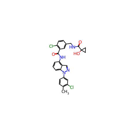 Cc1ccc(-n2ncc3c(NC(=O)c4cc(CNC(=O)C5(O)CC5)ccc4Cl)cccc32)cc1Cl